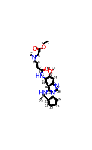 CCOC(=O)CN(C)CC=CC(=O)Nc1cc2c(N[C@H](C)c3ccccc3)ncnc2cc1OC